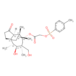 Cc1ccc(S(=O)(=O)OCC(=O)O[C@@H]2C[C@@](C)(CO)[C@@H](O)[C@H](C)[C@]34CCC(=O)[C@H]3[C@@]2(C)[C@H](C)CC4)cc1